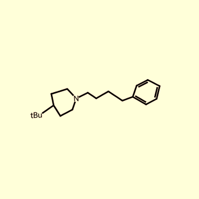 CC(C)(C)C1CCN(CCCCc2ccccc2)CC1